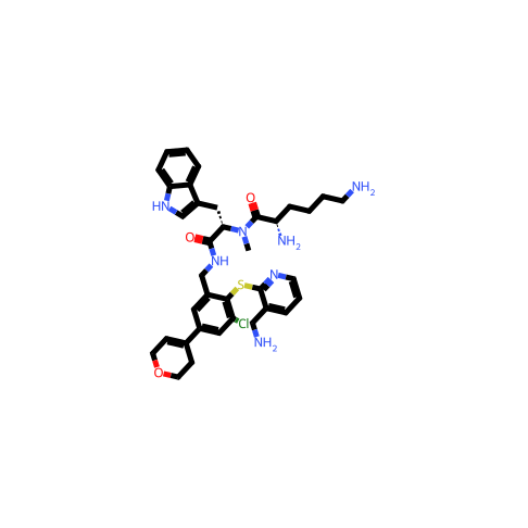 CN(C(=O)[C@@H](N)CCCCN)[C@@H](Cc1c[nH]c2ccccc12)C(=O)NCc1cc(C2=CCOCC2)cc(Cl)c1Sc1ncccc1CN